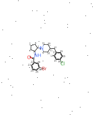 O=C(NC1CCCC1N1CCC(Cc2ccc(Cl)cc2)CC1)c1cccc(Br)c1